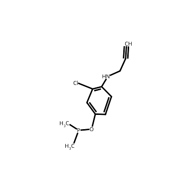 C#CCNc1ccc(OP(C)C)cc1Cl